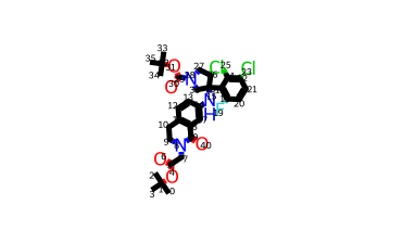 CC(C)(C)OC(=O)CN1CCc2ccc(NC3(c4c(F)ccc(Cl)c4Cl)CCN(C(=O)OC(C)(C)C)C3)cc2C1=O